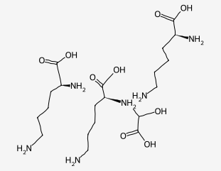 CC(O)C(=O)O.NCCCC[C@H](N)C(=O)O.NCCCC[C@H](N)C(=O)O.NCCCC[C@H](N)C(=O)O